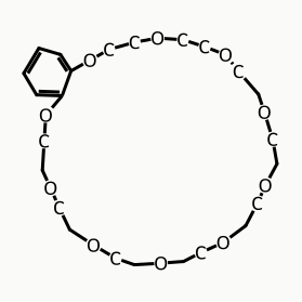 c1ccc2c(c1)OCCOCCOCCOCCOCCOCCOCCOCCOCCO2